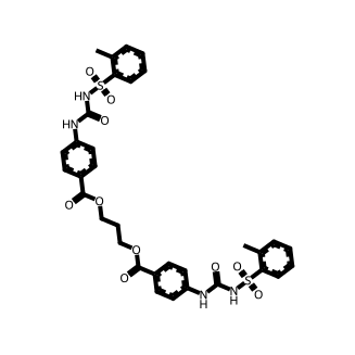 Cc1ccccc1S(=O)(=O)NC(=O)Nc1ccc(C(=O)OCCCOC(=O)c2ccc(NC(=O)NS(=O)(=O)c3ccccc3C)cc2)cc1